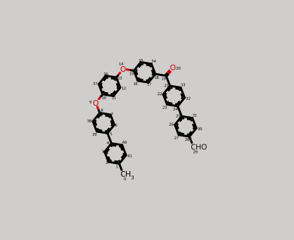 Cc1ccc(-c2ccc(Oc3ccc(Oc4ccc(C(=O)c5ccc(-c6ccc(C=O)cc6)cc5)cc4)cc3)cc2)cc1